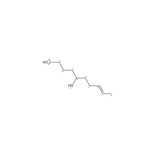 C/C=C/CCC(O)CCCC(=O)O